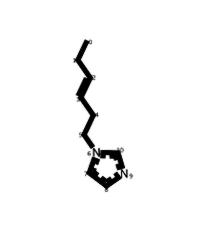 CCC=CCCn1ccnc1